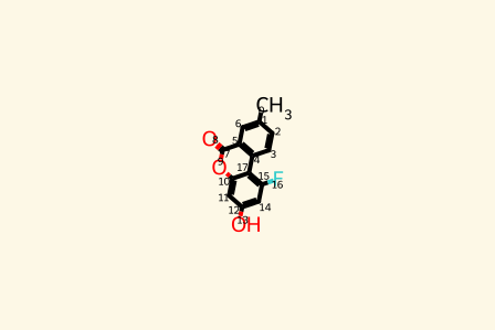 Cc1ccc2c(c1)c(=O)oc1cc(O)cc(F)c12